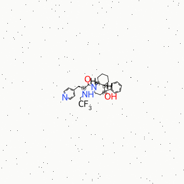 O=C([C@H](Cc1ccncc1)NCC(F)(F)F)N1CC[C@](O)(c2ccccc2)[C@H]2CCCC[C@H]21